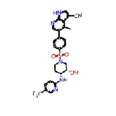 Cc1c(-c2ccc(S(=O)(=O)N3CC[C@@H](Nc4ccc(C(F)(F)F)cn4)[C@@H](O)C3)cc2)cnc2[nH]cc(C#N)c12